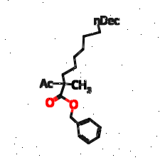 CCCCCCCCCCCCCCCCC(C)(C(C)=O)C(=O)OCc1ccccc1